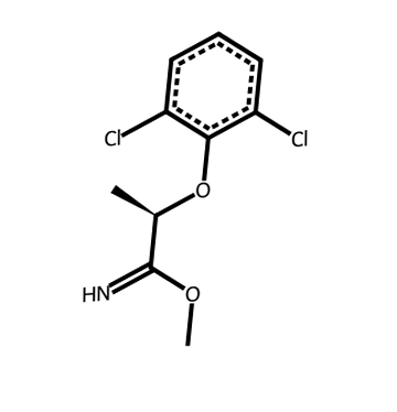 COC(=N)[C@@H](C)Oc1c(Cl)cccc1Cl